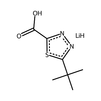 CC(C)(C)c1nnc(C(=O)O)s1.[LiH]